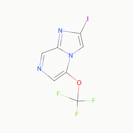 FC(F)(F)Oc1cncc2nc(I)cn12